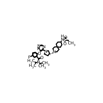 CCS(=O)(=O)NC1CCC2(CC1)CCN(C[C@@H]1CCN(c3ncnnc3Oc3ccc(F)cc3C(=O)N(C(C)C)C(C)C)C1)CC2